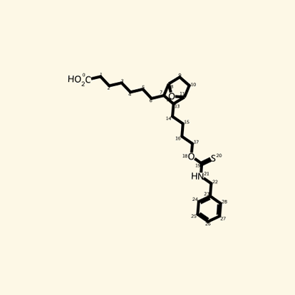 O=C(O)CCCCCCC1C2CCC(O2)C1CCCCOC(=S)NCc1ccccc1